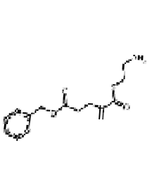 NCCSC(=O)NCCC(=O)OCc1ccccc1